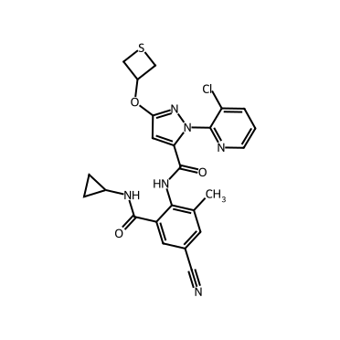 Cc1cc(C#N)cc(C(=O)NC2CC2)c1NC(=O)c1cc(OC2CSC2)nn1-c1ncccc1Cl